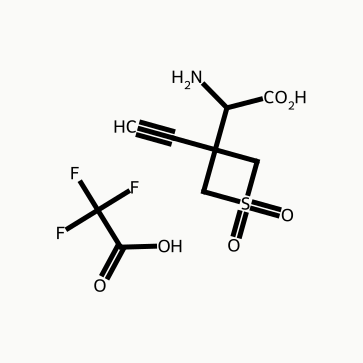 C#CC1(C(N)C(=O)O)CS(=O)(=O)C1.O=C(O)C(F)(F)F